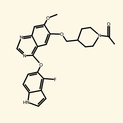 COc1cc2ncnc(Oc3ccc4[nH]ccc4c3F)c2cc1OCC1CCN(C(C)=O)CC1